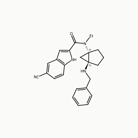 CCN(C(=O)c1cc2cc(C#N)ccc2[nH]1)[C@]12CCC[C@]1(NCc1ccccc1)C2